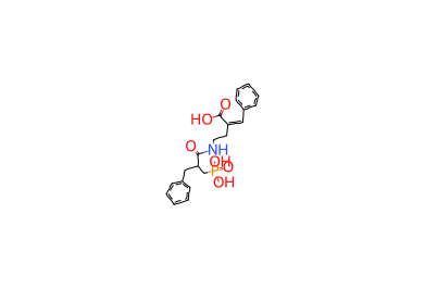 O=C(O)C(=Cc1ccccc1)CCNC(=O)C(Cc1ccccc1)CP(=O)(O)O